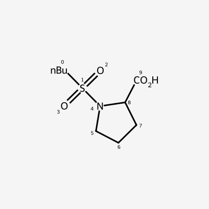 CCCCS(=O)(=O)N1CCCC1C(=O)O